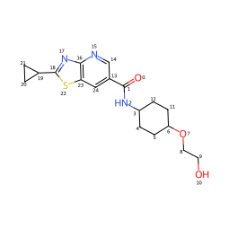 O=C(NC1CCC(OCCO)CC1)c1cnc2nc(C3CC3)sc2c1